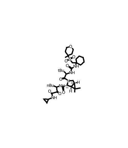 CCCCC(NC(=O)[C@@H]1[C@@H]2[C@H](CN1C(=O)C(NC(=O)NC1(CS(=O)(=O)C3(C)CCOCC3)CCCCC1)C(C)(C)C)C2(C)C)C(=O)C(=O)NC1CC1